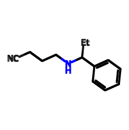 CCC(NCCCC#N)c1ccccc1